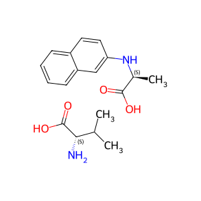 CC(C)[C@H](N)C(=O)O.C[C@H](Nc1ccc2ccccc2c1)C(=O)O